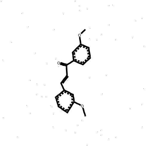 COc1cccc(/C=C/C(=O)c2cccc(OC)c2)c1